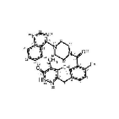 Cc1c(Cc2ccc(F)c(C(=O)N3CCN(c4ncnc5ccccc45)CC3)c2)n[nH]c(=O)c1C